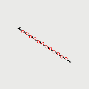 CCCCOCCOCCOCCOCCOCCOCCOCCOCCOCCOCCOCCOCCC(C)C